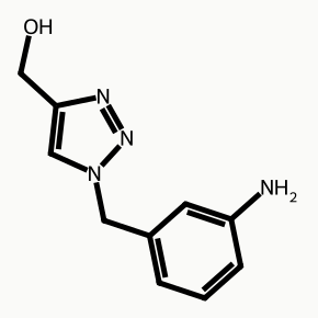 Nc1cccc(Cn2cc(CO)nn2)c1